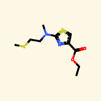 CCOC(=O)c1csc(N(C)CCSC)n1